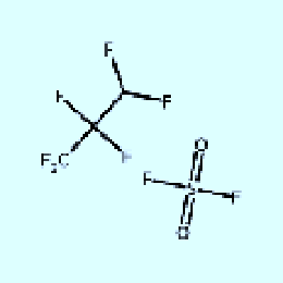 FC(F)C(F)(F)C(F)(F)F.O=S(=O)(F)F